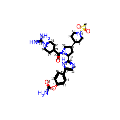 CS(=O)(=O)N1CCC([C@H]2C[C@@H](c3ncc(-c4ccc(OC(N)=O)cc4)[nH]3)N(C(=O)C3CCN(C(=N)N)CC3)C2)CC1